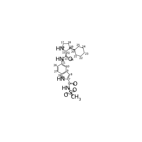 CS(=O)(=O)NC(=O)c1cc2cc(NC(=O)[C@H]3NCC[C@H]3C3CCCCC3)ccc2[nH]1